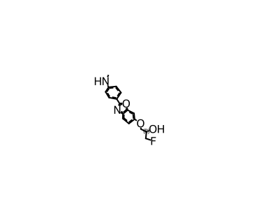 CNc1ccc(-c2nc3ccc(OC[C@@H](O)CF)cc3o2)cc1